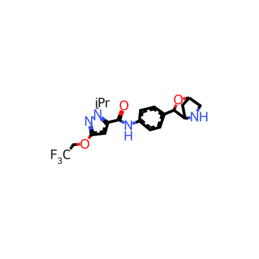 CC(C)n1nc(OCC(F)(F)F)cc1C(=O)Nc1ccc(C2OC3CNC2C3)cc1